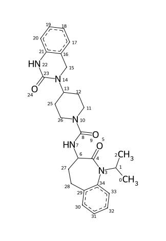 CC(C)N1C(=O)C(NC(=O)N2CCC(N3Cc4ccccc4NC3=O)CC2)CCc2ccccc21